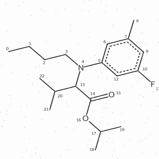 CCCCN(c1cc(C)cc(F)c1)C(C(=O)OC(C)C)C(C)C